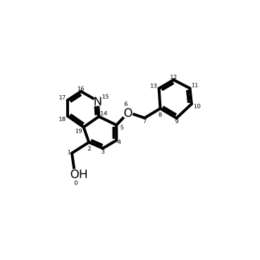 OCc1ccc(OCc2ccccc2)c2ncccc12